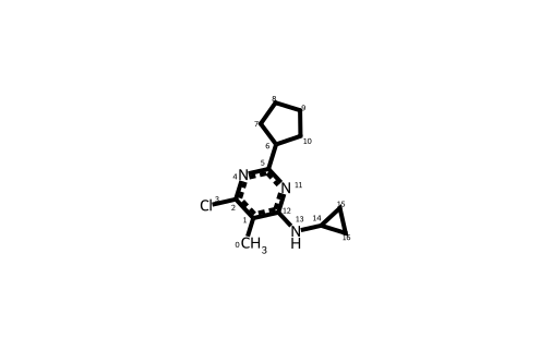 Cc1c(Cl)nc(C2CCCC2)nc1NC1CC1